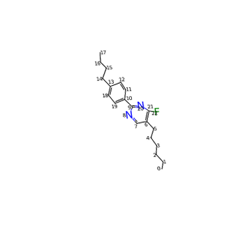 CCCCCCc1cnc(-c2ccc(CCCC)cc2)nc1F